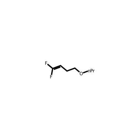 [CH2]CCOCCC=C(F)F